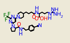 N#Cc1ccc(CCNC(=O)C2CCCN2c2cc(N3CCC(CCCC(=O)NC(CCCNC(=N)N)C(=O)O)CC3)nc(C(F)(F)F)n2)cc1